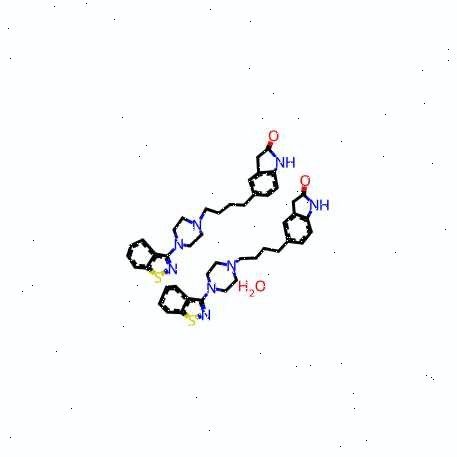 O.O=C1Cc2cc(CCCCN3CCN(c4nsc5ccccc45)CC3)ccc2N1.O=C1Cc2cc(CCCCN3CCN(c4nsc5ccccc45)CC3)ccc2N1